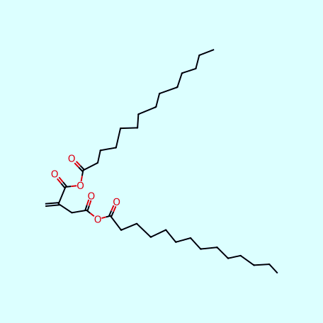 C=C(CC(=O)OC(=O)CCCCCCCCCCCCC)C(=O)OC(=O)CCCCCCCCCCCCC